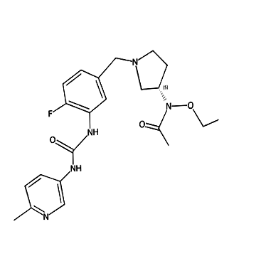 CCON(C(C)=O)[C@H]1CCN(Cc2ccc(F)c(NC(=O)Nc3ccc(C)nc3)c2)C1